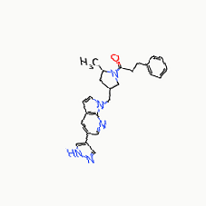 CC1CC(Cn2ccc3cc(-c4cn[nH]c4)cnc32)CN1C(=O)CCc1ccccc1